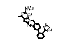 CCCc1cc2c(n1Cc1ccc(-c3ccccc3-c3nnn[nH]3)cc1)NC(NC)=NC2C